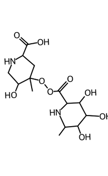 CC1NC(C(=O)OOC2(C)CC(C(=O)O)NCC2O)C(O)C(O)C1O